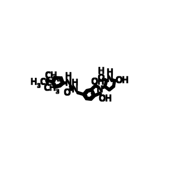 CC(C)(C)c1ccc(NC(=O)NCc2ccc3c(c2)C(O)N(C2CCC(O)NC2O)C3O)cc1